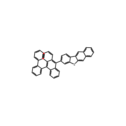 c1ccc(-c2ccccc2-c2c3ccccc3c(-c3ccc4c(c3)sc3cc5ccccc5cc34)c3ccccc23)cc1